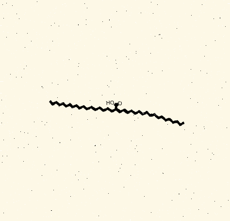 CCCCCCCCCCCCCCCC=CC=C(CCCCCCCCCCCCCCCCCC)C(=O)O